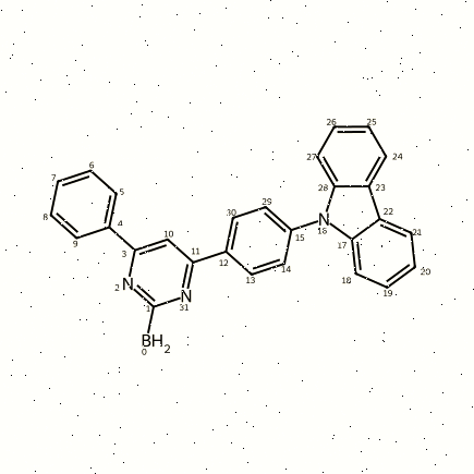 Bc1nc(-c2ccccc2)cc(-c2ccc(-n3c4ccccc4c4ccccc43)cc2)n1